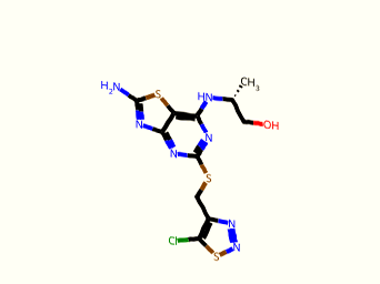 C[C@H](CO)Nc1nc(SCc2nnsc2Cl)nc2nc(N)sc12